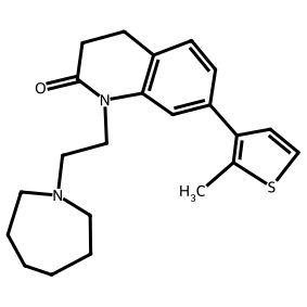 Cc1sccc1-c1ccc2c(c1)N(CCN1CCCCCC1)C(=O)CC2